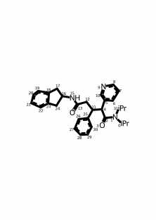 CC(C)N(C(=O)C(c1cccnc1)C(CC(=O)NC1Cc2ccccc2C1)c1ccccc1)C(C)C